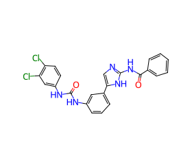 O=C(Nc1cccc(-c2cnc(NC(=O)c3ccccc3)[nH]2)c1)Nc1ccc(Cl)c(Cl)c1